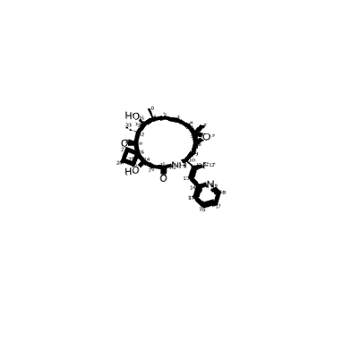 C[C@H]1CCCC2(C)OC2C[C@@H](C(F)=Cc2ccccn2)NC(=O)CC(O)C2(CCC2)C(=O)[C@H](C)[C@H]1O